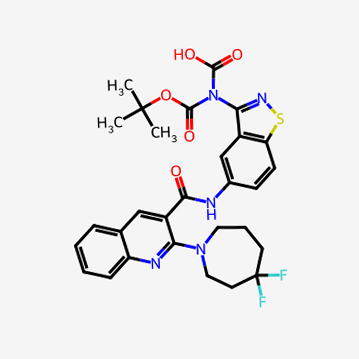 CC(C)(C)OC(=O)N(C(=O)O)c1nsc2ccc(NC(=O)c3cc4ccccc4nc3N3CCCC(F)(F)CC3)cc12